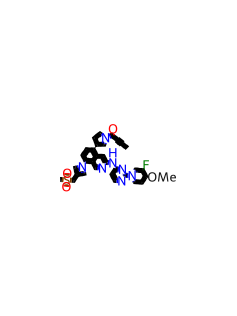 CC#CC(=O)N1CC[C@@H](c2ccc(N3CC(CS(C)(=O)=O)C3)c3cnc(Nc4ccnc(N5CC[C@@H](OC)[C@@H](F)C5)n4)cc23)C1